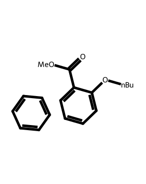 CCCCOc1ccccc1C(=O)OC.c1ccccc1